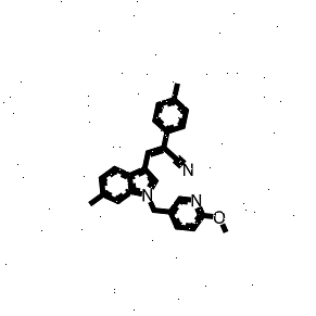 COc1ccc(Cn2cc(/C=C(\C#N)c3ccc(C)cc3)c3ccc(C)cc32)cn1